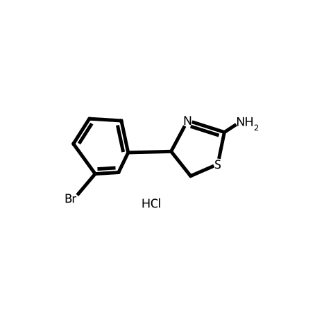 Cl.NC1=NC(c2cccc(Br)c2)CS1